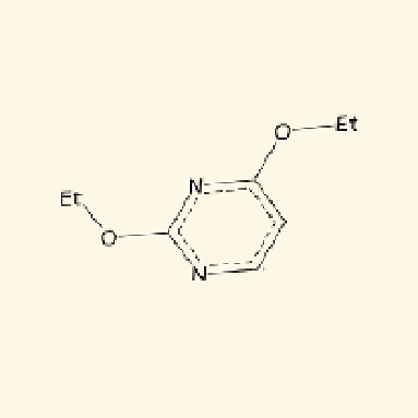 CCOc1c[c]nc(OCC)n1